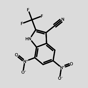 N#Cc1c(C(F)(F)F)[nH]c2c([N+](=O)[O-])cc([N+](=O)[O-])cc12